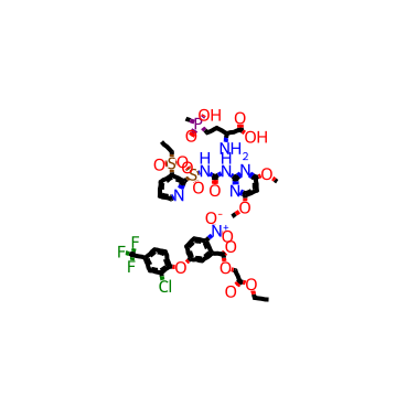 CCOC(=O)COC(=O)c1cc(Oc2ccc(C(F)(F)F)cc2Cl)ccc1[N+](=O)[O-].CCS(=O)(=O)c1cccnc1S(=O)(=O)NC(=O)Nc1nc(OC)cc(OC)n1.CP(=O)(O)CCC(N)C(=O)O